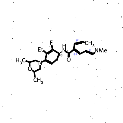 C\C=C/C(=C\C=C\NC)C(=O)N[C@@H]1CC=C(N2CC(C)OC(C)C2)C(CC)=C1F